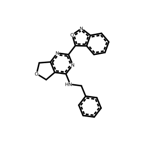 c1ccc(CNc2nc(-c3onc4ccccc34)nc3c2COC3)cc1